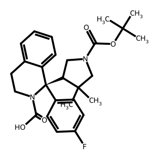 CC(C)(C)OC(=O)N1CC([C@]2(c3ccc(F)cc3)c3ccccc3CCN2C(=O)O)C(C)(C)C1